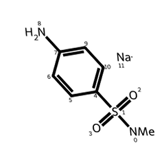 CNS(=O)(=O)c1ccc(N)cc1.[Na]